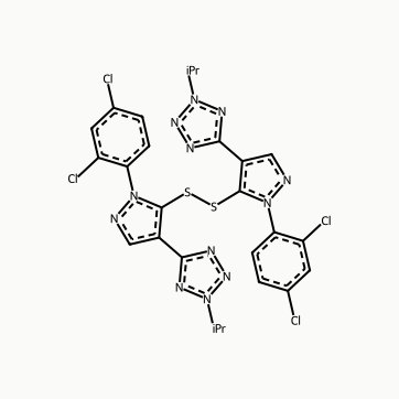 CC(C)n1nnc(-c2cnn(-c3ccc(Cl)cc3Cl)c2SSc2c(-c3nnn(C(C)C)n3)cnn2-c2ccc(Cl)cc2Cl)n1